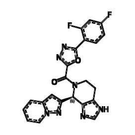 O=C(c1nnc(-c2ccc(F)cc2F)o1)N1CCc2[nH]cnc2[C@H]1c1cc2ccccn2n1